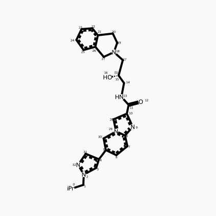 CC(C)Cn1cc(-c2ccc3nc(C(=O)NC[C@H](O)CN4CCc5ccccc5C4)cn3c2)cn1